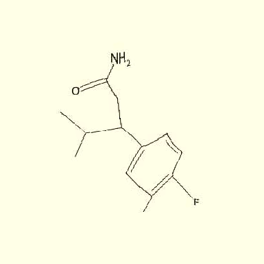 Cc1cc(C(CC(N)=O)C(C)C)ccc1F